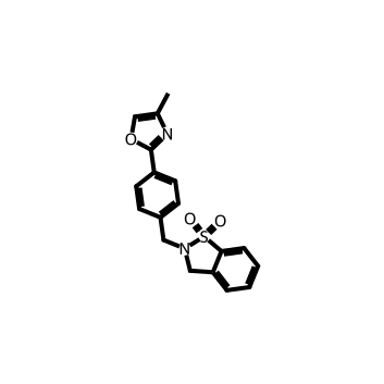 Cc1coc(-c2ccc(CN3Cc4ccccc4S3(=O)=O)cc2)n1